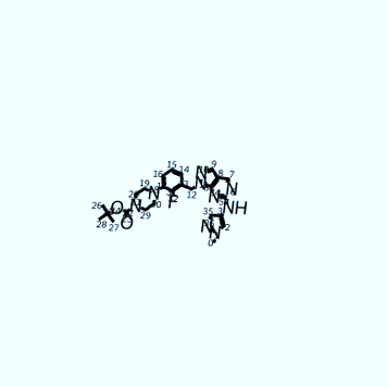 Cn1cc(Nc2ncc3cnn(Cc4cccc(N5CCN(C(=O)OC(C)(C)C)CC5)c4F)c3n2)cn1